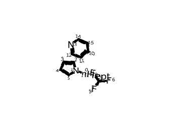 CCCCCCCn1cccc1.FC(F)F.c1ccncc1